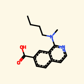 CCCCN(C)c1nccc2ccc(C(=O)O)cc12